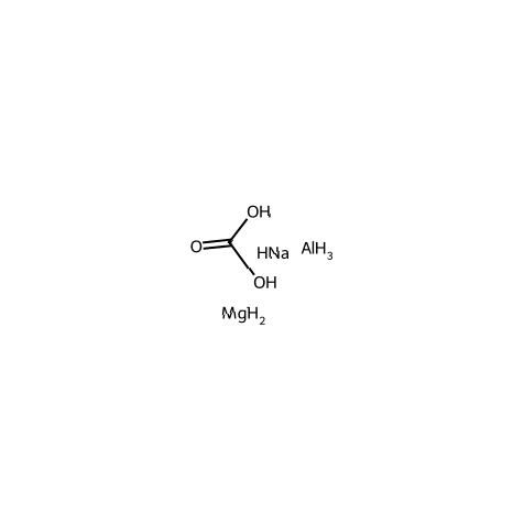 O=C(O)O.[AlH3].[MgH2].[NaH]